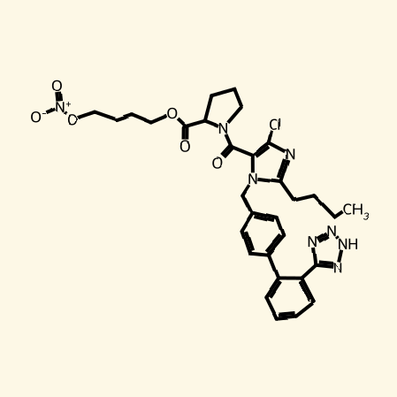 CCCCc1nc(Cl)c(C(=O)N2CCCC2C(=O)OCCCCO[N+](=O)[O-])n1Cc1ccc(-c2ccccc2-c2nn[nH]n2)cc1